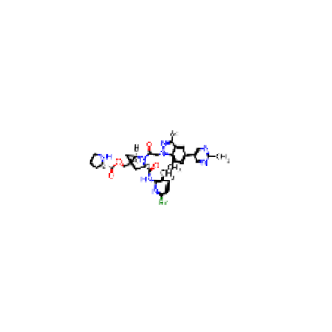 CC(=O)c1nn(CC(=O)N2[C@H](C(=O)Nc3nc(Br)ccc3C)C[C@]3(COC(=O)[C@@H]4CCCN4)C[C@@H]23)c2c(C)cc(-c3cnc(C)nc3)cc12